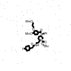 COCCCOc1cc(C(=O)N(C(C)C)C2CCC(CCNC(=O)Cc3ccc(F)cc3)N(C(=O)OC(C)(C)C)C2)ccc1OC